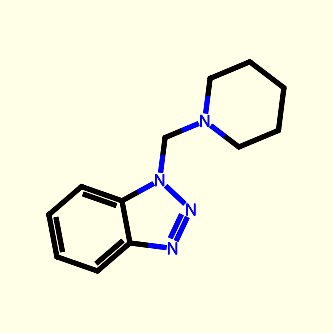 c1ccc2c(c1)nnn2CN1CCCCC1